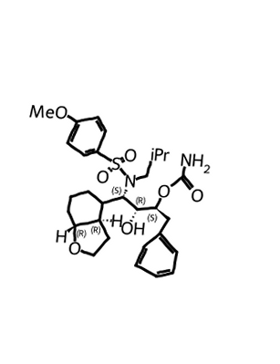 COc1ccc(S(=O)(=O)N(CC(C)C)[C@@H](C2CCC[C@H]3OCC[C@H]23)[C@@H](O)[C@H](Cc2ccccc2)OC(N)=O)cc1